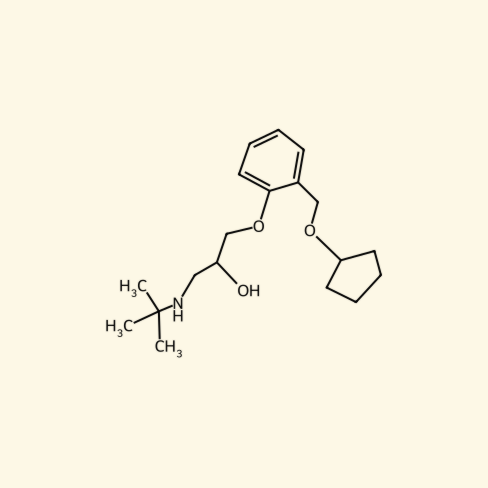 CC(C)(C)NCC(O)COc1ccccc1COC1CCCC1